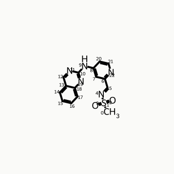 CS(=O)(=O)N=Cc1cc(Nc2ncc3ccccc3n2)ccn1